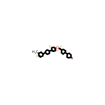 CC1CC(C2CCC(C3=CC=C(OC(F)(F)C4CCC(C5CCC(I)CC5)CC4)CC3F)CC2)CC=C1F